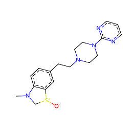 CN1C[S+]([O-])c2cc(CCN3CCN(c4ncccn4)CC3)ccc21